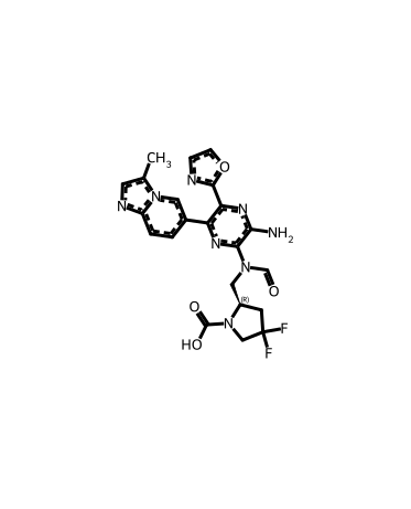 Cc1cnc2ccc(-c3nc(N(C=O)C[C@H]4CC(F)(F)CN4C(=O)O)c(N)nc3-c3ncco3)cn12